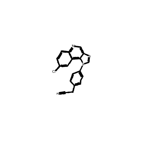 N#CCc1ccc(-n2cnc3cnc4ccc(Cl)cc4c32)cc1